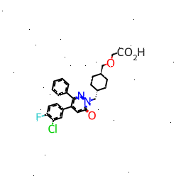 O=C(O)COC[C@H]1CC[C@H](Cn2nc(-c3ccccc3)c(-c3ccc(F)c(Cl)c3)cc2=O)CC1